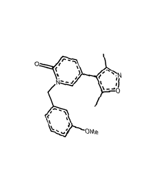 COc1cccc(Cn2cc(-c3c(C)noc3C)ccc2=O)c1